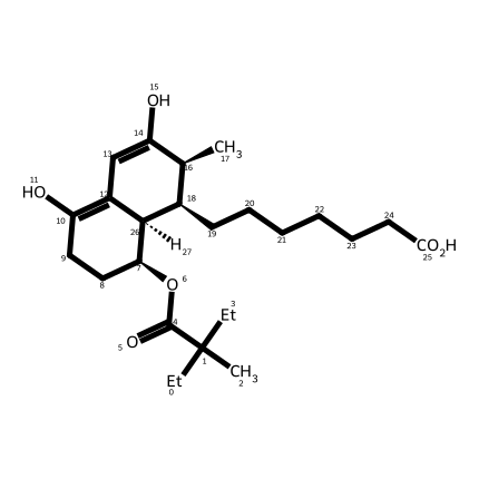 CCC(C)(CC)C(=O)O[C@H]1CCC(O)=C2C=C(O)[C@@H](C)[C@@H](CCCCCCC(=O)O)[C@H]21